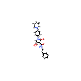 O=C(NCCc1ccccc1)C1=C(O)CN(c2ccc(N3CCCCC3)cc2)C1=O